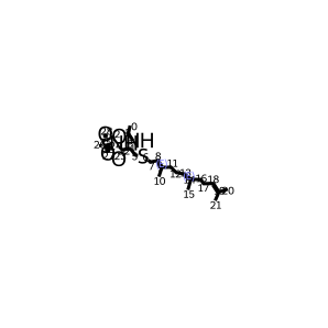 CC(=O)NC(CSC/C=C(\C)CC/C=C(\C)CCC=C(C)C)C(=O)NS(C)(=O)=O